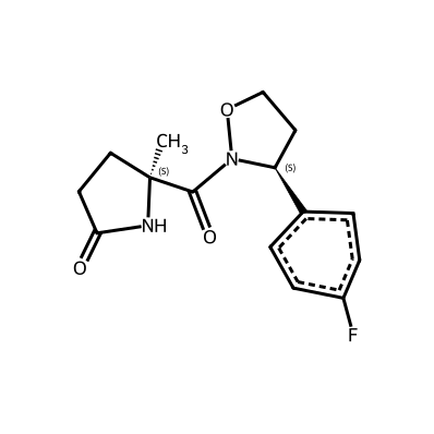 C[C@@]1(C(=O)N2OCC[C@H]2c2ccc(F)cc2)CCC(=O)N1